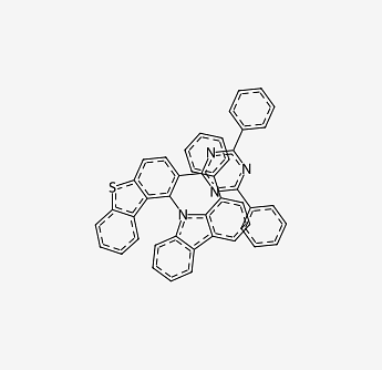 c1ccc(-c2nc(-c3ccccc3)nc(-c3ccc4sc5ccccc5c4c3-n3c4ccccc4c4cccc(-c5ccccc5)c43)n2)cc1